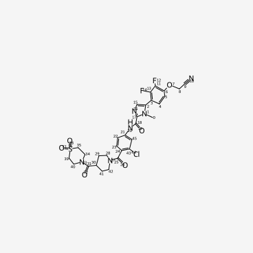 Cn1c(-c2ccc(OCC#N)c(F)c2F)cnc1C(=O)Nc1ccc(C(=O)N2CCC(C(=O)N3CCS(=O)(=O)CC3)CC2)c(Cl)c1